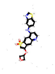 O=S1(=O)C=C(OC2COC2)c2cc3nccc(Nc4ccc5scnc5c4)c3cc21